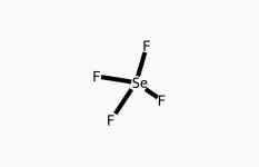 F[Se](F)(F)F